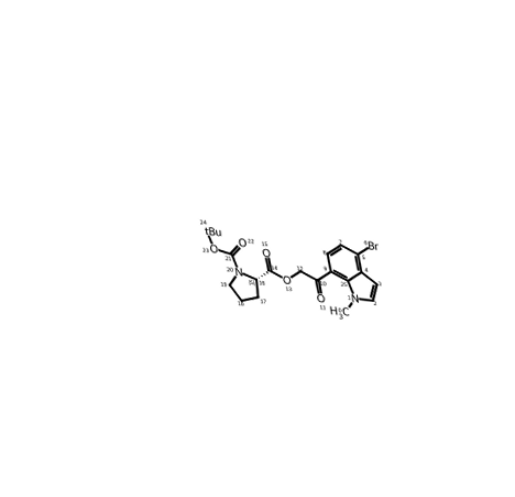 Cn1ccc2c(Br)ccc(C(=O)COC(=O)[C@@H]3CCCN3C(=O)OC(C)(C)C)c21